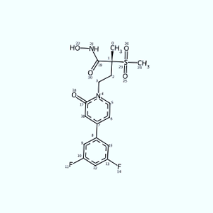 C[C@@](CCn1ccc(-c2cc(F)cc(F)c2)cc1=O)(C(=O)NO)S(C)(=O)=O